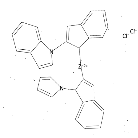 C1=[C]([Zr+2][CH]2C(n3ccc4ccccc43)=Cc3ccccc32)C(n2cccc2)c2ccccc21.[Cl-].[Cl-]